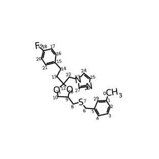 Cc1cccc(CSCC2COC(CCc3ccc(F)cc3)(Cn3ccnc3)O2)c1